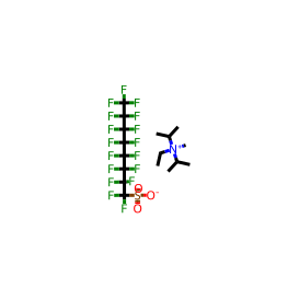 CC[N+](C)(C(C)C)C(C)C.O=S(=O)([O-])C(F)(F)C(F)(F)C(F)(F)C(F)(F)C(F)(F)C(F)(F)C(F)(F)C(F)(F)F